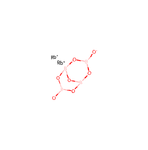 [O-]B1OB2OB([O-])OB(O1)O2.[Rb+].[Rb+]